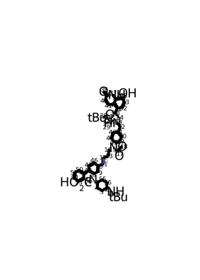 CC(C)(C)NC1CCC(N(C(=O)O)c2cc(/C=C/CCn3c(=O)oc4cc(CNC[C@@H](O[Si](C)(C)C(C)(C)C)c5ccc(O)c6[nH]c(=O)ccc56)ccc43)ccc2-c2ccccc2)CC1